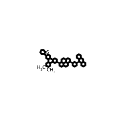 Cc1cc2c3cc(-c4ccc5ccc6c(-c7cccc(-c8c9ccccc9cc9ccccc89)c7)ccc7ccc4c5c76)ccc3c3cc4sc5ccccc5c4cc3c2cc1C